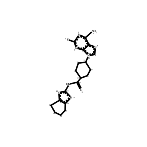 Nc1nc(F)nc2c1ncn2C1CCC(C(=O)Nc2nc3c(s2)CCCC3)CC1